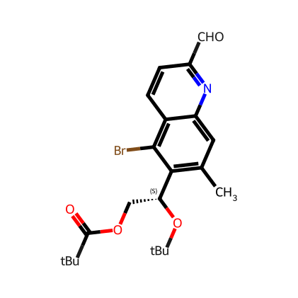 Cc1cc2nc(C=O)ccc2c(Br)c1[C@@H](COC(=O)C(C)(C)C)OC(C)(C)C